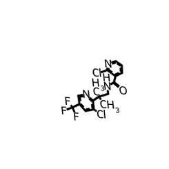 CC(C)(CNC(=O)c1cccnc1Cl)c1ncc(C(F)(F)F)cc1Cl